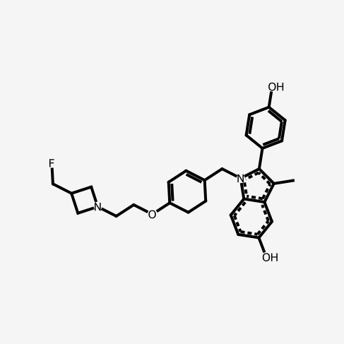 Cc1c(C2=C=C=C(O)C=C2)n(CC2=CC=C(OCCN3CC(CF)C3)CC2)c2ccc(O)cc12